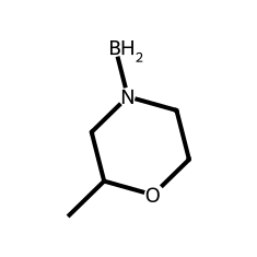 BN1CCOC(C)C1